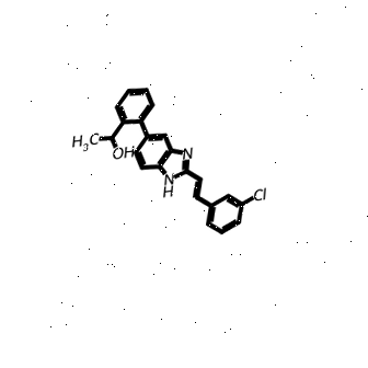 CC(O)c1ccccc1-c1ccc2[nH]c(C=Cc3cccc(Cl)c3)nc2c1